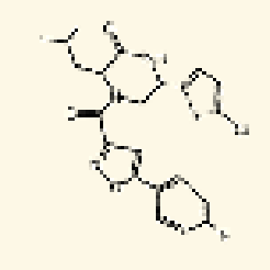 CC(C)C[C@H]1C(=O)N[C@H](c2ccc(Cl)s2)CN1C(=O)c1cc(-c2ccc(F)cc2)on1